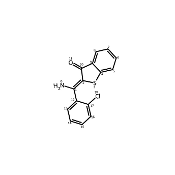 NC(=C1Sc2ccccc2C1=O)c1ccccc1Cl